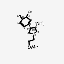 COCCN1C[C@@H](N)[C@H](C2=CC(F)C(C)C=C2)C1